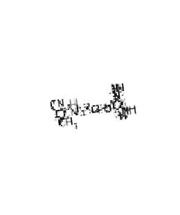 Cc1cc(CC#N)cc(CNCCCCOCCOc2cc(-n3cnnc3)cc3[nH]ncc23)c1